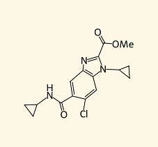 COC(=O)c1nc2cc(C(=O)NC3CC3)c(Cl)cc2n1C1CC1